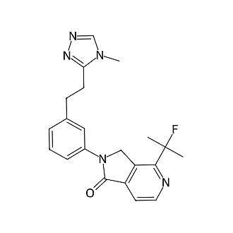 Cn1cnnc1CCc1cccc(N2Cc3c(ccnc3C(C)(C)F)C2=O)c1